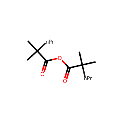 CCCC(C)(C)C(=O)OC(=O)C(C)(C)CCC